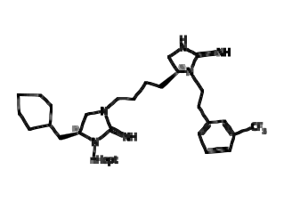 CCCCCCCN1C(=N)N(CCCC[C@H]2CNC(=N)N2CCc2cccc(C(F)(F)F)c2)C[C@@H]1CC1CCCCC1